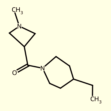 CCC1CCN(C(=O)C2CN(C)C2)CC1